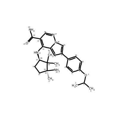 CC(C)Oc1ccc(-c2cc3c(N[C@@H]4CC[C@](C)(N)C4(C)C)c(C(N)=O)cnn3c2)cc1